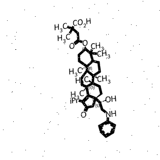 CC(C)C1=C2[C@@]([C@H](O)CNc3ccccc3)(CC[C@]3(C)[C@]2(C)CCC2[C@@]4(C)CC[C@H](OC(=O)CC(C)(C)C(=O)O)C(C)(C)C4CC[C@]23C)CC1=O